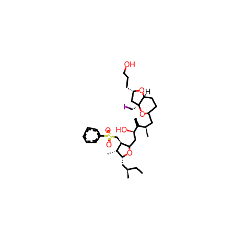 C=C([C@H](C)CC1CC[C@@H]2O[C@@H](CCCO)C[C@]2(CI)O1)[C@H](O)CC1O[C@H](C[C@H](C)CC)[C@H](C)[C@H]1CS(=O)(=O)c1ccccc1